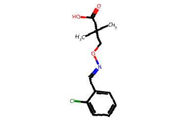 CC(C)(CON=Cc1ccccc1Cl)C(=O)O